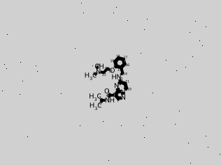 CC(C)NC(=O)c1cnn2ccc(NCc3ccccc3OCCN(C)C)nc12